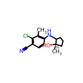 Cc1c(NC2CCC[C@]2(C)O)ccc(C#N)c1Cl